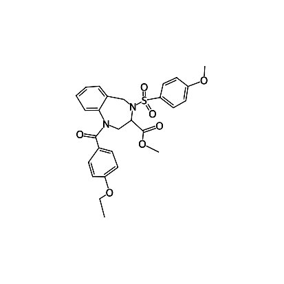 CCOc1ccc(C(=O)N2CC(C(=O)OC)N(S(=O)(=O)c3ccc(OC)cc3)Cc3ccccc32)cc1